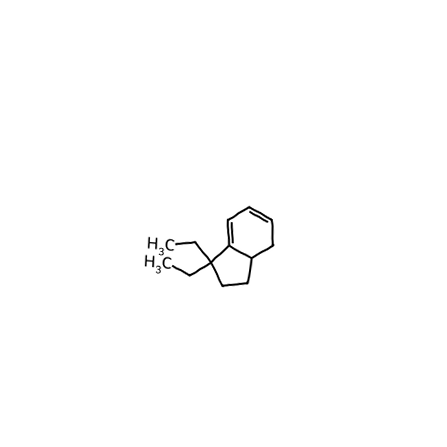 CCC1(CC)CCC2CC=CC=C21